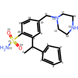 CC(c1ccccc1)c1cc(CN2CCNCC2)ccc1S(N)(=O)=O